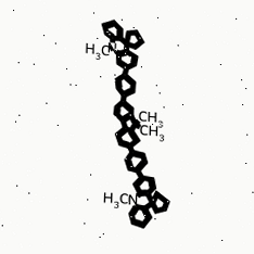 CN1c2ccccc2C2(CCCC2)c2ccc(-c3ccc(-c4ccc5c(c4)C(C)(C)c4cc(-c6ccc(-c7ccc8c(c7)N(C)c7ccccc7C87CCCC7)cc6)ccc4-5)cc3)cc21